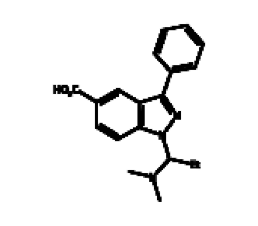 CCC(N(C)C)n1nc(-c2ccccc2)c2cc(C(=O)O)ccc21